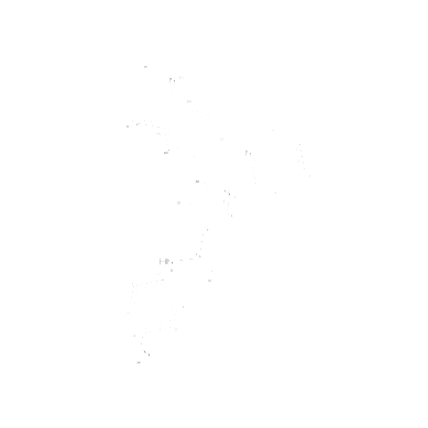 Cc1cccc(-n2nc(C(=O)Nc3ccc(C#N)cc3)cc2-c2ccc3nccnc3c2)n1